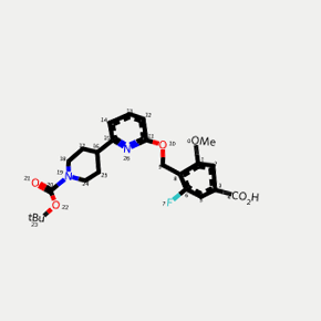 COc1cc(C(=O)O)cc(F)c1COc1cccc(C2CCN(C(=O)OC(C)(C)C)CC2)n1